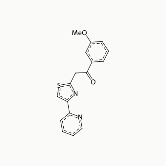 COc1cccc(C(=O)Cc2nc(-c3ccccn3)cs2)c1